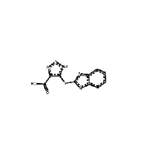 O=C(O)c1nn[nH]c1Sc1nc2ccccc2s1